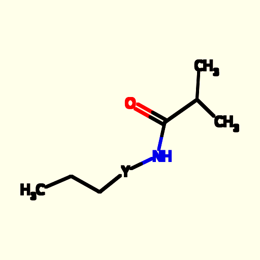 CC[CH2][Y][NH]C(=O)C(C)C